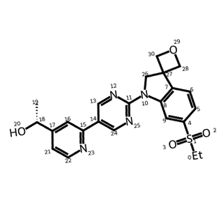 CCS(=O)(=O)c1ccc2c(c1)N(c1ncc(-c3cc([C@@H](C)O)ccn3)cn1)CC21COC1